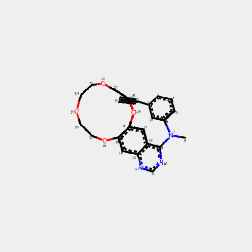 C#Cc1cccc(N(C)c2ncnc3cc4c(cc23)OCCOCCOCCO4)c1